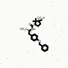 CC1(C)[C@@H](C(=O)N[C@@H](Cc2ccc(OCc3ccccc3)cc2)C(=O)O)CC[C@@]1(C)C(=O)O